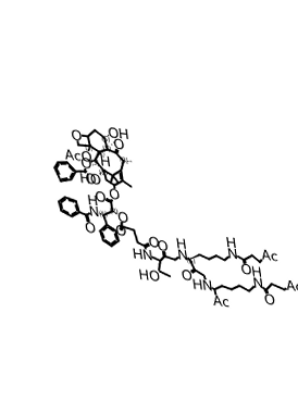 CC(=O)CCC(=O)NCCCCC(NCC(=O)[C@H](CCCCNC(=O)CCC(C)=O)NCC(=O)C(NC(=O)CCC(=O)O[C@@H](C(=O)OC1C[C@@]2(O)[C@@H](OC(=O)c3ccccc3)[C@H]3[C@](C)(C(=O)[C@H](C)C(=C1C)C2(C)C)[C@@H](O)CC1OC[C@]13OC(C)=O)[C@@H](NC(=O)c1ccccc1)c1ccccc1)C(C)O)C(C)=O